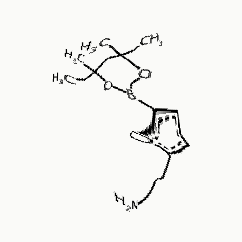 CC1(C)OB(c2ccc(CN)o2)OC1(C)C